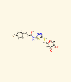 O=C(C=Cc1ccc(Br)cc1)Nc1nnc(SCc2cc(=O)c(O)co2)s1